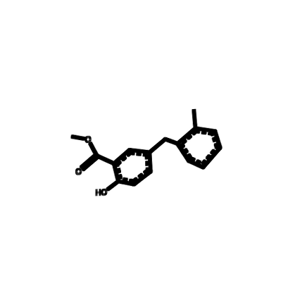 COC(=O)c1cc(Cc2ccccc2C)ccc1O